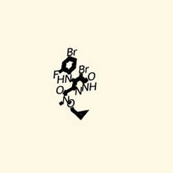 CN(OCC1CC1)C(=O)c1n[nH]c(=O)c(Br)c1Nc1ccc(Br)cc1F